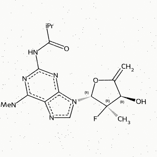 C=C1O[C@@H](n2cnc3c(NC)nc(NC(=O)C(C)C)nc32)[C@](C)(F)[C@@H]1O